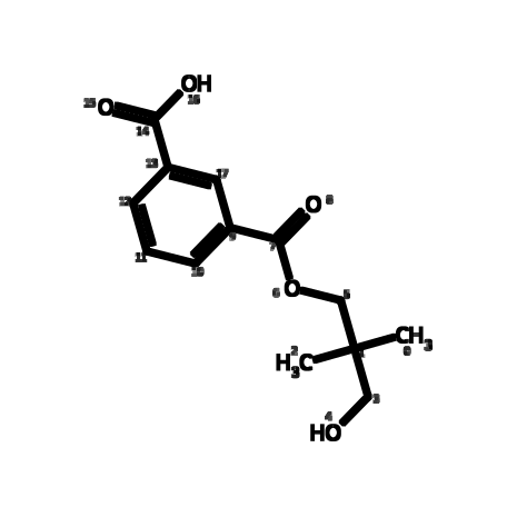 CC(C)(CO)COC(=O)c1cccc(C(=O)O)c1